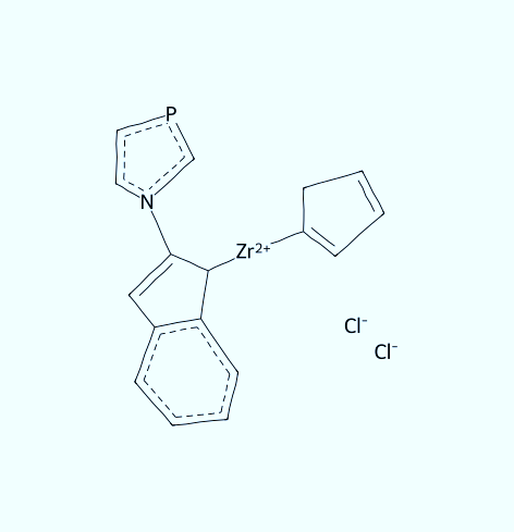 C1=CC[C]([Zr+2][CH]2C(n3ccpc3)=Cc3ccccc32)=C1.[Cl-].[Cl-]